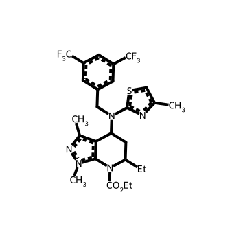 CCOC(=O)N1c2c(c(C)nn2C)C(N(Cc2cc(C(F)(F)F)cc(C(F)(F)F)c2)c2nc(C)cs2)CC1CC